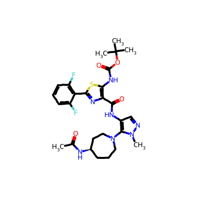 CC(=O)N[C@@H]1CCCN(c2c(NC(=O)c3nc(-c4c(F)cccc4F)sc3NC(=O)OC(C)(C)C)cnn2C)CC1